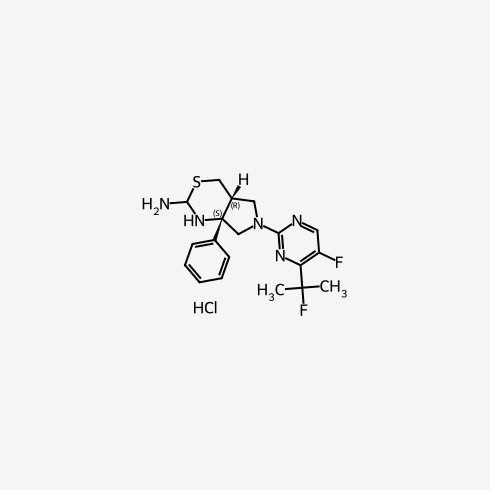 CC(C)(F)c1nc(N2C[C@H]3CSC(N)N[C@@]3(c3ccccc3)C2)ncc1F.Cl